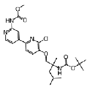 COC(=O)Nc1cc(-c2ccc(OCC(C)(CC(C)C)NC(=O)OC(C)(C)C)c(Cl)n2)ccn1